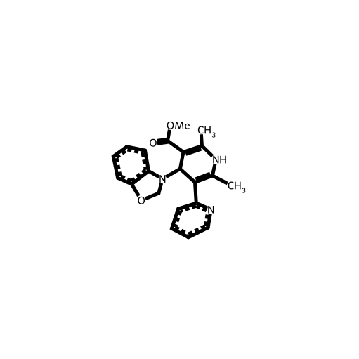 COC(=O)C1=C(C)NC(C)=C(c2ccccn2)C1N1COc2ccccc21